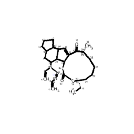 C=C/N=N\N(C=C)C1CC2CCCC2C2C=C3C(=O)[C@H](C)CCCC[C@H](CC)OC(=O)CC3C21